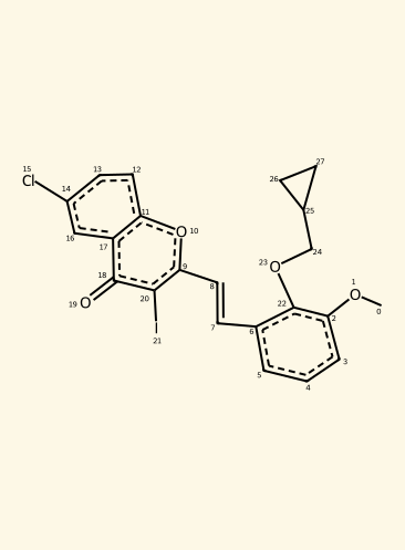 COc1cccc(C=Cc2oc3ccc(Cl)cc3c(=O)c2I)c1OCC1CC1